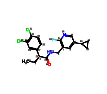 CC[C@H](C(=O)NCc1cc(C2CC2)cnc1F)c1ccc(Cl)c(Cl)c1